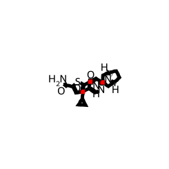 NC(=O)c1ccc(C(=O)N[C@H]2C[C@H]3CC[C@@H](C2)N3c2ccc(C(=O)C3CC3)cn2)s1